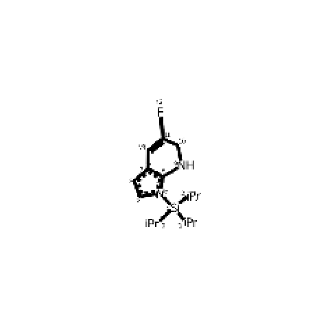 CC(C)[Si](C(C)C)(C(C)C)n1ccc2c1NCC(F)=C2